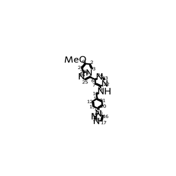 COc1ccn2c(-c3cc(NCc4ccc(-n5ccnn5)cc4)ncn3)cnc2c1